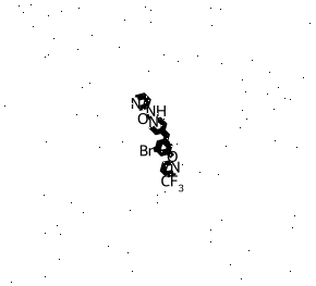 O=C(Nc1cccnc1)N1CCC(=Cc2cc(Br)cc(Oc3ccc(C(F)(F)F)cn3)c2)CC1